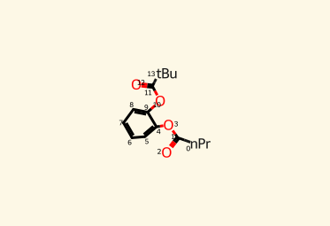 CCCC(=O)Oc1ccccc1OC(=O)C(C)(C)C